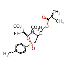 C=C(C)C(=O)OCCC(CS(=O)(=O)c1ccc(C)cc1)N(C=C(CC)C(=O)O)C(=O)O